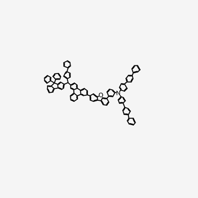 c1ccc(-c2ccc(-c3ccc(N(c4ccc(-c5ccc(-c6ccccc6)cc5)cc4)c4cccc(-c5cccc6c5oc5cc(-c7ccc8c9ccc(C(c%10ccc(-c%11ccccc%11)cc%10)c%10ccc%11c(c%10)C(c%10ccccc%10)(c%10ccccc%10)c%10ccccc%10-%11)cc9c9ccccc9c8c7)ccc56)c4)cc3)cc2)cc1